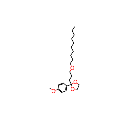 CCCCCCCCCCOCCCC1(c2ccc(OC)cc2)OCCO1